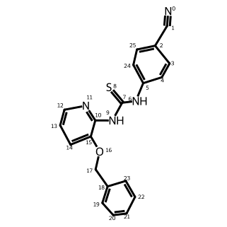 N#Cc1ccc(NC(=S)Nc2ncccc2OCc2ccccc2)cc1